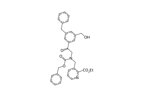 CCOC(=O)c1ncccc1CN(CC(=O)c1cc(CO)cc(Cc2ccccc2)c1)C(=O)OCc1ccccc1